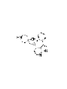 CC1(COc2ccnc3[nH]cc(-c4ccccc4)c23)CCNCC1